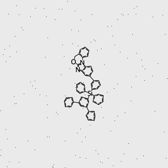 c1ccc(-c2cc(-c3ccccc3)cc([Si](c3ccccc3)(c3ccccc3)c3cccc(-c4ccc5c(c4)nc4n5-c5ccccc5CO4)c3)c2)cc1